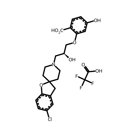 O=C(O)C(F)(F)F.O=C(O)c1ccc(O)cc1OC[C@@H](O)CN1CCC2(CC1)Cc1cc(Cl)ccc1O2